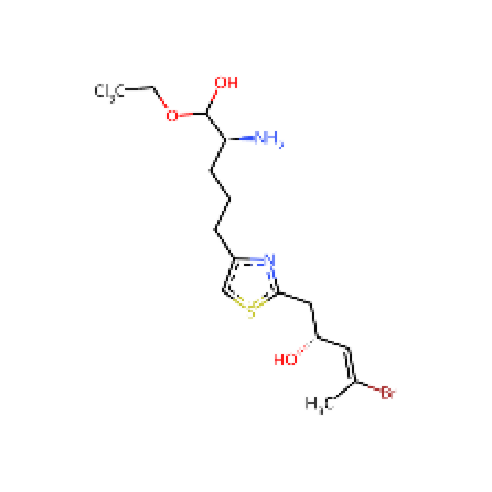 C/C(Br)=C\[C@H](O)Cc1nc(CCC[C@H](N)C(O)OCC(Cl)(Cl)Cl)cs1